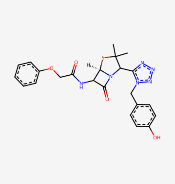 CC1(C)S[C@@H]2C(NC(=O)COc3ccccc3)C(=O)N2C1c1nnnn1Cc1ccc(O)cc1